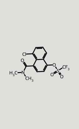 CN(C)C(=O)c1ccc(OS(=O)(=O)C(F)(F)F)c2cccc(Cl)c12